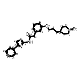 CCN1CCC(CCCOc2cccc(CC(=O)Nc3nc(-c4ccncc4)cs3)c2)CC1